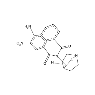 Nc1c([N+](=O)[O-])cc2c3c(cccc13)C(=O)N([C@H]1CN3CCC1CC3)C2=O